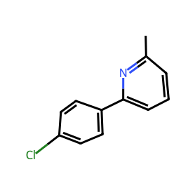 Cc1cccc(-c2ccc(Cl)cc2)n1